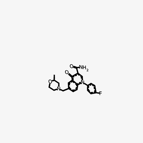 CC1CN(Cc2ccc3c(c2)c(=O)c(C(N)=O)cn3-c2ccc(F)cc2)CCO1